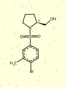 Cc1cc(S(=O)(=O)N2CCC[C@H]2CO)ccc1Br